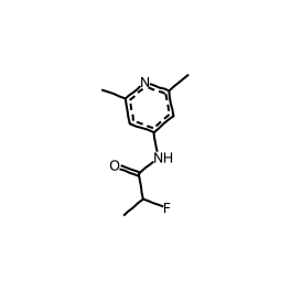 Cc1cc(NC(=O)C(C)F)cc(C)n1